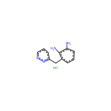 Cl.Nc1cccc(Cc2cccnn2)c1N